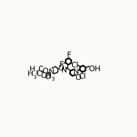 CC(C)(C)OC(=O)N1CCC(ON=C(c2ccc(=O)n(-c3c(Cl)cc(CO)cc3Cl)c2)c2ccc(F)cc2F)CC1